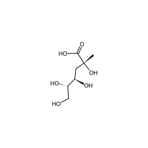 C[C@@](O)(C[C@@H](O)[C@@H](O)CO)C(=O)O